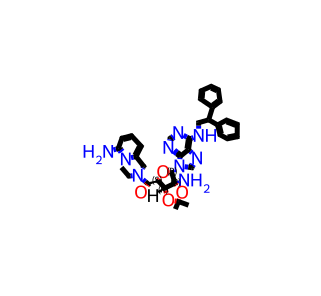 CCN(Cc1cccc(N)n1)C(=O)[C@H]1O[C@@H](n2cnc3c(NCC(c4ccccc4)c4ccccc4)ncnc32)[C@]2(N)OC(C)(C)O[C@H]12